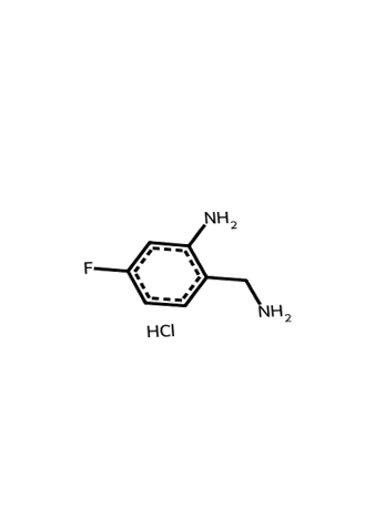 Cl.NCc1ccc(F)cc1N